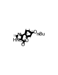 CCCCOc1ccc2c(c1)oc(=O)c1[nH]cnc12